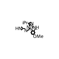 COc1cccc([C@H](C)Nc2nc(CN(C)CC3CNC3)nc3c(C(C)C)cnn23)c1